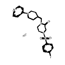 Cl.O=C1CN(S(=O)(=O)c2ccc(I)cc2)CCN1CC1CCN(c2ccncc2)CC1